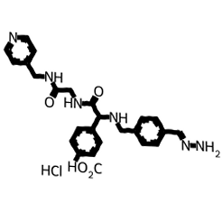 Cl.NN=Cc1ccc(CNC(C(=O)NCC(=O)NCc2ccncc2)c2ccc(C(=O)O)cc2)cc1